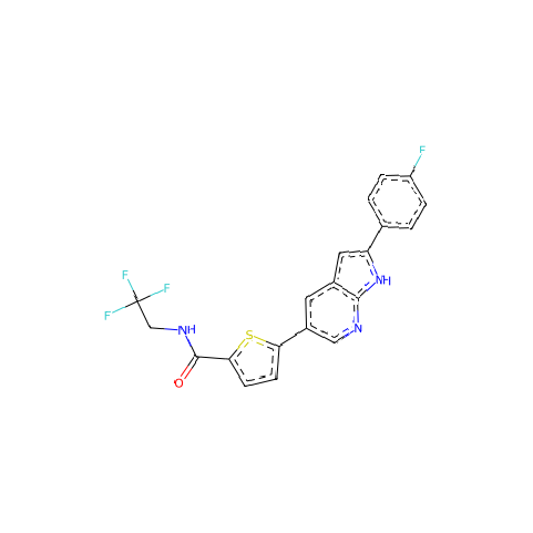 O=C(NCC(F)(F)F)c1ccc(-c2cnc3[nH]c(-c4ccc(F)cc4)cc3c2)s1